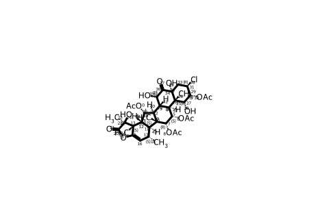 CC(=O)O[C@@H]1[C@H]2[C@H]3[C@H]([C@H](OC(C)=O)[C@H](OC(C)=O)[C@]2(C)[C@@H]2[C@@H]1[C@]1(C)C(=C[C@H]2C)OC(=O)[C@@]1(C)O)[C@@]1(C)[C@@H](O)[C@@H](OC(C)=O)[C@H](Cl)C[C@]1(O)C(=O)[C@@H]3O